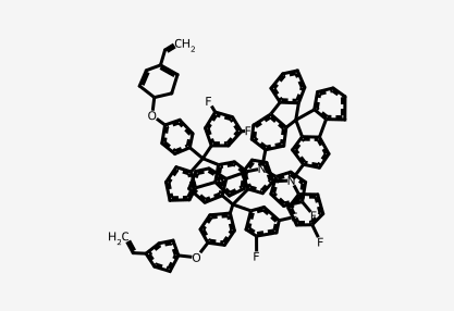 C=CC1=CCC(Oc2ccc(C3(c4cc(F)cc(F)c4)c4ccccc4-c4ccc(N(c5ccc(F)cc5)c5ccc6c(c5)C5(c7ccccc7-c7ccc(N(c8ccc(F)cc8)c8ccc9c(c8)C(c8ccc(Oc%10ccc(C=C)cc%10)cc8)(c8cc(F)cc(F)c8)c8ccccc8-9)cc75)c5ccccc5-6)cc43)cc2)C=C1